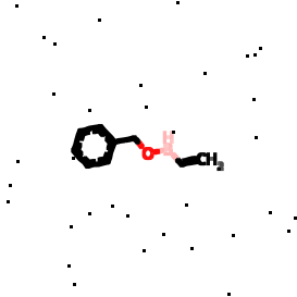 C=CBOCc1ccccc1